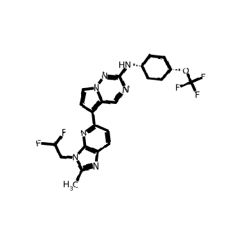 Cc1nc2ccc(-c3ccn4nc(N[C@H]5CC[C@@H](OC(F)(F)F)CC5)ncc34)nc2n1CC(F)F